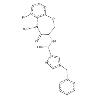 CN1C(=O)[C@@H](NC(=O)c2cn(Cc3ccccc3)cn2)COc2cccc(F)c21